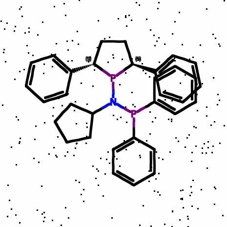 c1ccc([C@@H]2CC[C@@H](c3ccccc3)P2N(C2CCCC2)P(c2ccccc2)c2ccccc2)cc1